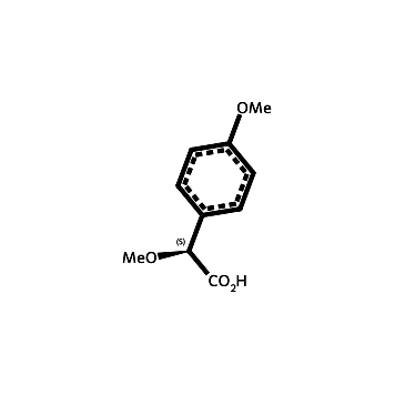 COc1ccc([C@H](OC)C(=O)O)cc1